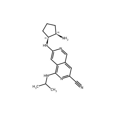 CC(C)Nc1nc(C#N)cc2cnc(N[C@H]3CCC[C@H]3N)cc12